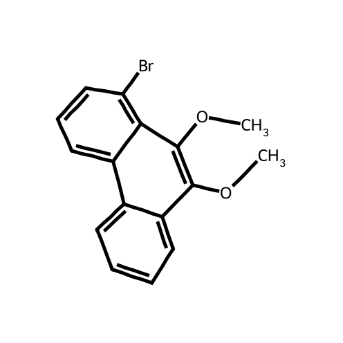 COc1c(OC)c2c(Br)cccc2c2ccccc12